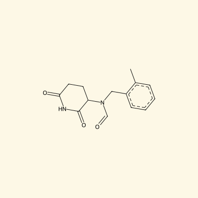 Cc1ccccc1CN(C=O)C1CCC(=O)NC1=O